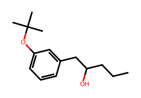 CCCC(O)Cc1cccc(OC(C)(C)C)c1